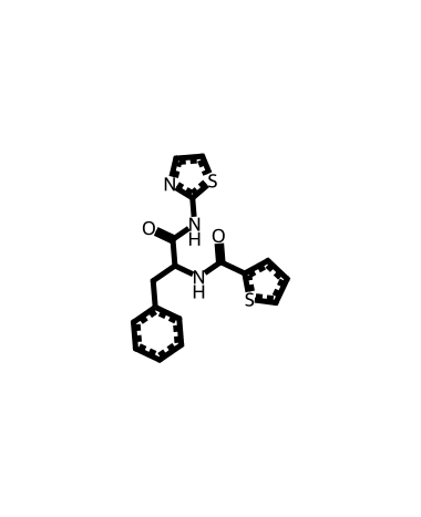 O=C(NC(Cc1ccccc1)C(=O)Nc1nccs1)c1cccs1